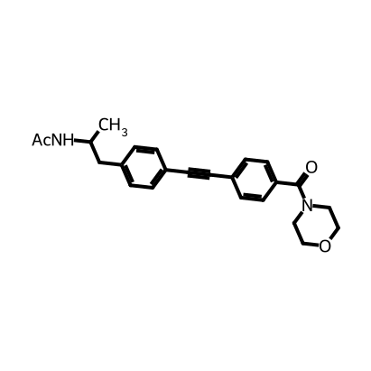 CC(=O)NC(C)Cc1ccc(C#Cc2ccc(C(=O)N3CCOCC3)cc2)cc1